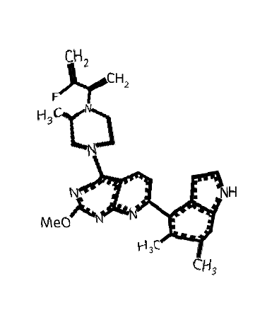 C=C(F)C(=C)N1CCN(c2nc(OC)nc3nc(-c4c(C)c(C)cc5[nH]ccc45)ccc23)CC1C